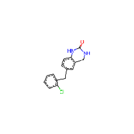 O=C1NCc2cc(Cc3ccccc3Cl)ccc2N1